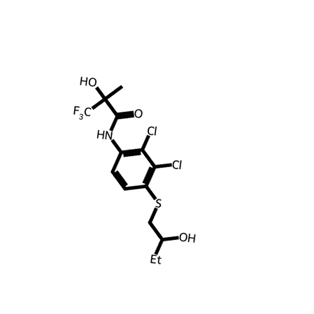 CCC(O)CSc1ccc(NC(=O)C(C)(O)C(F)(F)F)c(Cl)c1Cl